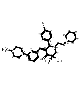 CN1CCN(c2cccc(C=C3C(=O)C(C)(C)CN(CCN4CCCCC4)C3c3ccc(F)cc3)n2)CC1